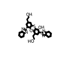 OCCc1cc(Sc2cc(CCO)cc(-n3nc4ccccc4n3)c2O)c(O)c(-n2nc3ccccc3n2)c1